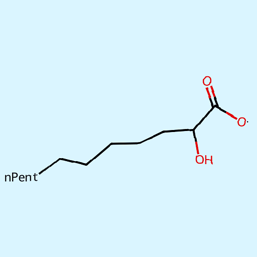 CCCCCCCCCCC(O)C([O])=O